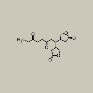 CCC(=O)CCC(=O)CC(C1COC(=O)C1)C1COC(=O)C1